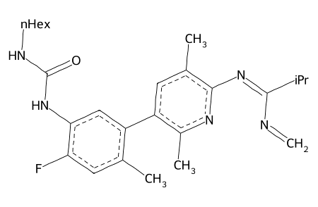 C=N/C(=N\c1nc(C)c(-c2cc(NC(=O)NCCCCCC)c(F)cc2C)cc1C)C(C)C